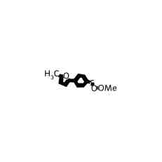 COOSc1ccc(-c2ccc(C)o2)cc1